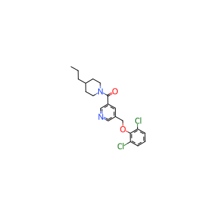 CCCC1CCN(C(=O)c2cncc(COc3c(Cl)cccc3Cl)c2)CC1